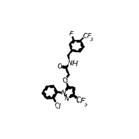 O=C(COc1cc(C(F)(F)F)nn1-c1ccccc1Cl)NCc1ccc(C(F)(F)F)c(F)c1